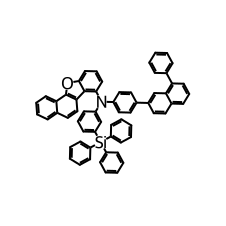 c1ccc(-c2cccc3ccc(-c4ccc(N(c5cccc([Si](c6ccccc6)(c6ccccc6)c6ccccc6)c5)c5cccc6oc7c8ccccc8ccc7c56)cc4)cc23)cc1